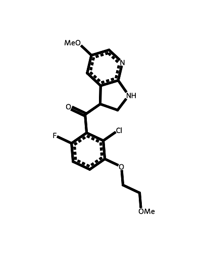 COCCOc1ccc(F)c(C(=O)C2CNc3ncc(OC)cc32)c1Cl